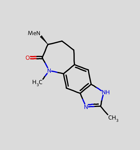 CN[C@H]1CCc2cc3[nH]c(C)nc3cc2N(C)C1=O